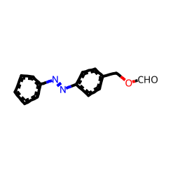 O=COCc1ccc(/N=N/c2ccccc2)cc1